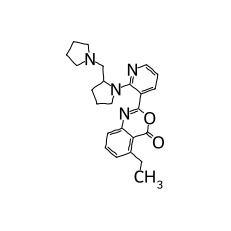 CCc1cccc2nc(-c3cccnc3N3CCCC3CN3CCCC3)oc(=O)c12